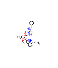 CCc1cccc2c3c([nH]c12)C(CC)(CC(=O)NNC(=S)NCc1ccccc1)OCC3